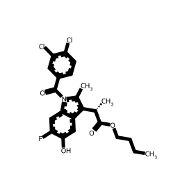 CCCCOC(=O)[C@@H](C)c1c(C)n(C(=O)c2ccc(Cl)c(Cl)c2)c2cc(F)c(O)cc12